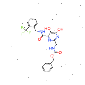 O=C(NCc1nc(O)c(O)c(C(=O)NCc2ccccc2C(F)(F)F)n1)OCc1ccccc1